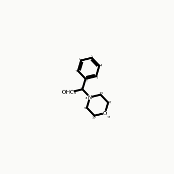 O=CC(c1c[c]ccc1)N1CCOCC1